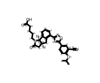 CC(C)Oc1ccc(-c2nc(-c3cccc4c3C[C@H]3CC(=O)N(CCCCC(=O)O)[C@@H]43)no2)cc1C#N